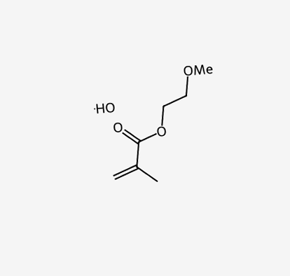 C=C(C)C(=O)OCCOC.[OH]